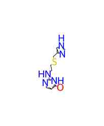 O=c1ccnc(NCCSCc2c[nH]cn2)[nH]1